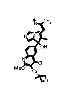 C=N/C(=C\C=C(/C)C(O)(c1ccc2nc(OC)c(OCC3(C)COC3)c(Cl)c2c1)c1cncn1C)C(F)(F)F